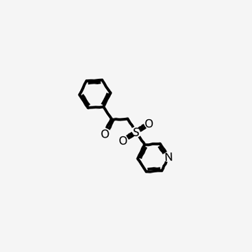 O=C(CS(=O)(=O)c1cccnc1)c1ccccc1